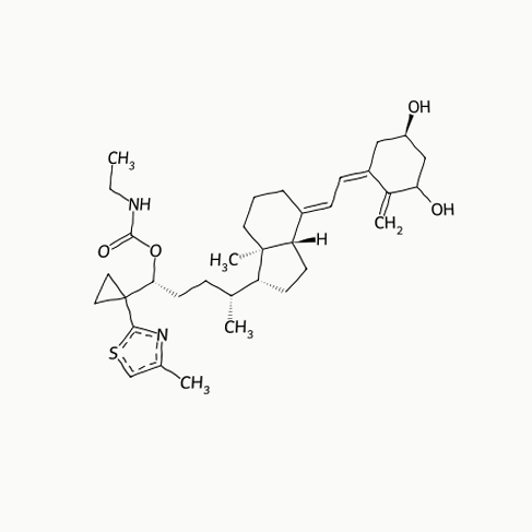 C=C1/C(=C\C=C2/CCC[C@]3(C)[C@@H]([C@H](C)CC[C@@H](OC(=O)NCC)C4(c5nc(C)cs5)CC4)CC[C@@H]23)C[C@@H](O)CC1O